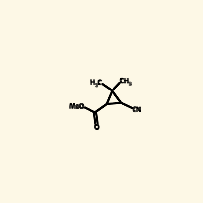 COC(=O)C1C(C#N)C1(C)C